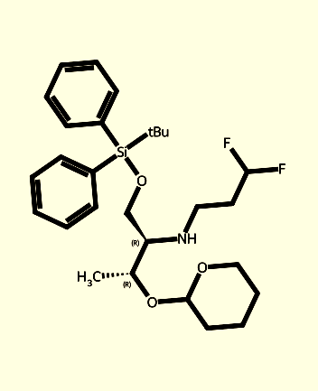 C[C@@H](OC1CCCCO1)[C@@H](CO[Si](c1ccccc1)(c1ccccc1)C(C)(C)C)NCCC(F)F